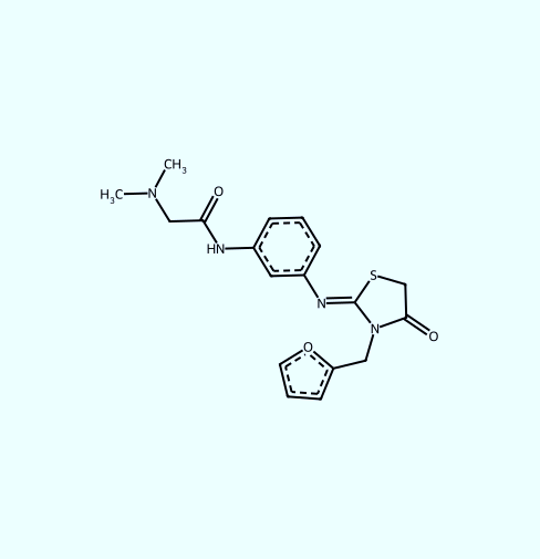 CN(C)CC(=O)Nc1cccc(/N=C2\SCC(=O)N2Cc2ccco2)c1